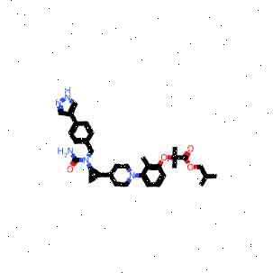 Cc1c(OC(C)(C)C(=O)OCC(C)C)cccc1N1CCC(C2CC2N(Cc2ccc(-c3cn[nH]c3)cc2)C(N)=O)CC1